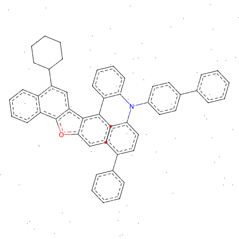 c1ccc(-c2ccc(N(c3ccc(-c4ccccc4)cc3)c3ccccc3-c3cccc4oc5c6ccccc6c(C6CCCCC6)cc5c34)cc2)cc1